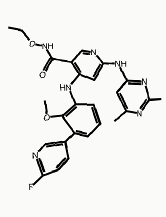 CCONC(=O)c1cnc(Nc2cc(C)nc(C)n2)cc1Nc1cccc(-c2ccc(F)nc2)c1OC